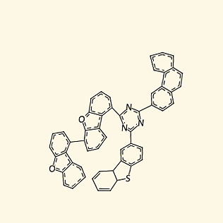 C1=CC2Sc3ccc(-c4nc(-c5ccc6ccc7ccccc7c6c5)nc(-c5cccc6oc7c(-c8cccc9oc%10ccccc%10c89)cccc7c56)n4)cc3C2C=C1